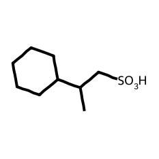 CC(CS(=O)(=O)O)C1CCCCC1